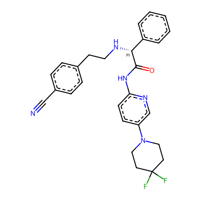 N#Cc1ccc(CCN[C@@H](C(=O)Nc2ccc(N3CCC(F)(F)CC3)cn2)c2ccccc2)cc1